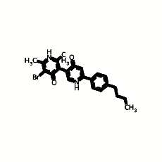 CCCCc1ccc(-c2cc(=O)c(-c3c(C)[nH]c(C)c(Br)c3=O)c[nH]2)cc1